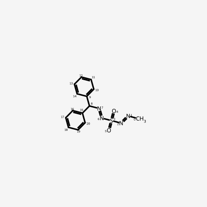 CN=NS(=O)(=O)N=NC(c1ccccc1)c1ccccc1